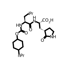 CCCC1CCC(OC(=O)N[C@@H](CC(C)C)C(=O)N[C@@H](C[C@@H]2CCNC2=O)C(=O)O)CC1